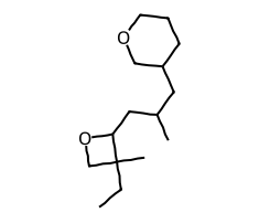 CCC1(C)COC1CC(C)CC1CCCOC1